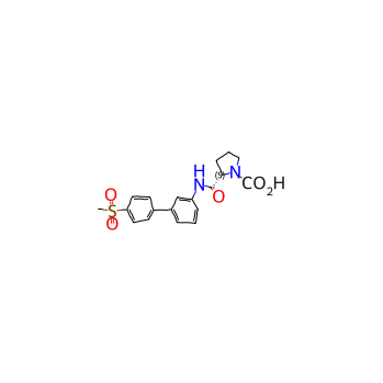 CS(=O)(=O)c1ccc(-c2cccc(NC(=O)[C@@H]3CCCN3C(=O)O)c2)cc1